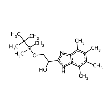 Cc1c(C)c(C)c2[nH]c(C(O)CO[Si](C)(C)C(C)(C)C)nc2c1C